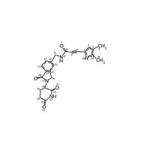 Cc1cc(C#CC(=O)NCc2ccc3c(c2)CN(C2CCC(=O)NC2=O)C3=O)nn1C